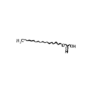 CCCCCCCCCCCCCCCCC=COC[C@@H](O)CO